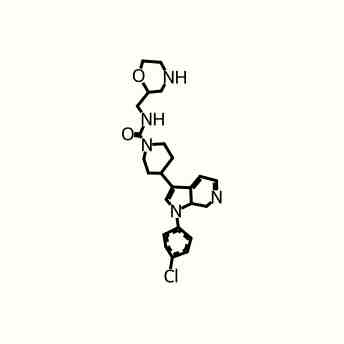 O=C(NCC1CNCCO1)N1CCC(C2=CN(c3ccc(Cl)cc3)C3CN=CC=C23)CC1